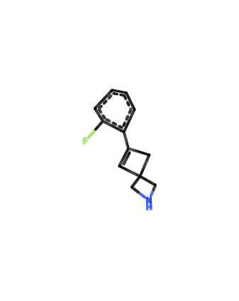 Fc1ccccc1C1=CC2(CNC2)C1